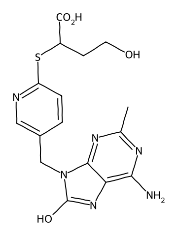 Cc1nc(N)c2nc(O)n(Cc3ccc(SC(CCO)C(=O)O)nc3)c2n1